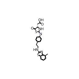 Cc1cccc2sc(NCCc3ccc(/N=C4/N[C@@H](CC(=O)O)C(=O)S4)cc3)nc12